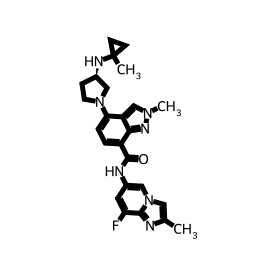 Cc1cn2cc(NC(=O)c3ccc(N4CC[C@H](NC5(C)CC5)C4)c4cn(C)nc34)cc(F)c2n1